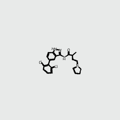 CC(CCN1CCCC1)C(=O)Nc1n[nH]c2ccc(-c3c(Cl)cccc3Cl)cc12